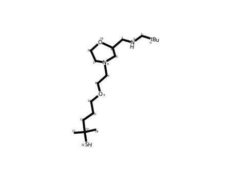 CC(C)(C)CNCC1CN(CCOCCCC(C)(C)S)CCO1